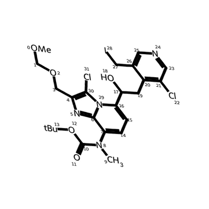 COCOCc1nc2c(N(C)C(=O)OC(C)(C)C)ccc(C(O)Cc3c(Cl)cncc3CI)n2c1Cl